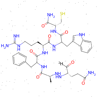 [2H]C(=O)[C@H](CCC(N)=O)NN[C@@H](C)C(=O)NC(Cc1ccccc1)C(=O)N[C@@H](CCCNC(=N)N)C(=O)NC(Cc1c[nH]c2ccccc12)C(=O)N[C@@H](CS)C(N)=O